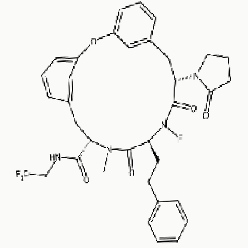 CN1C(=O)[C@H](CCc2ccccc2)N(F)C(=O)[C@@H](N2CCCC2=O)Cc2cccc(c2)Oc2cccc(c2)C[C@H]1C(=O)NCC(F)(F)F